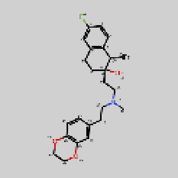 CC(C)[C@@H]1c2ccc(F)cc2CC[C@@]1(O)CCN(C)CCc1ccc2c(c1)OCCO2